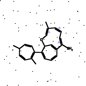 B\C1=C/C=C\C(C)=C\OC2C=C1C=CC=C2C1=C(C)C=CC(C)C=C1